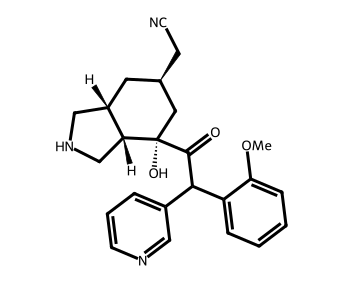 COc1ccccc1C(C(=O)[C@]1(O)C[C@H](CC#N)C[C@H]2CNC[C@H]21)c1cccnc1